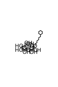 OC[C@@H]1O[C@@H](O[C@H]2[C@H](O)[C@@H](O)[C@H](OCCCCCCC3CCCCC3)O[C@H]2CO)[C@@H](O)[C@H](O)[C@H]1O